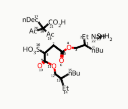 CCCCC(CC)COC(=O)CC(C(=O)OCC(CC)CCCC)S(=O)(=O)O.CCCCCCCCCCC(C(C)=O)(C(C)=O)C(=O)O.[NaH].[SnH2]